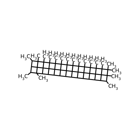 CC1C2C(C)C3(C)C4(C)C5(C)C6(C)C7(C)C8(C)C9(C)C%10(C)C%11(C)C%12(C)C%13(C)C%14(C)C(C)(C)C%15(C)C(C)C%16C%17C%18C%19C%20C%21C%22C%23C%24C%25C%26C1(C)C23C%264C%255C%246C%237C%228C%219C%20%10C%19%11C%18%12C%17%13C%16%15%14